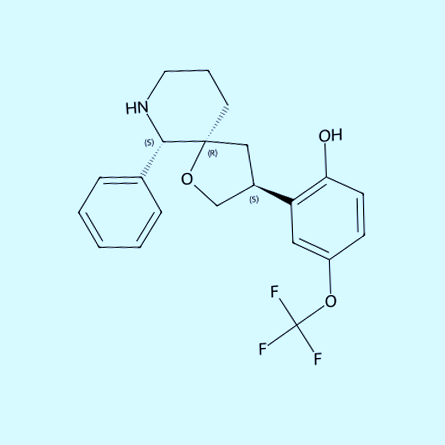 Oc1ccc(OC(F)(F)F)cc1[C@H]1CO[C@]2(CCCN[C@H]2c2ccccc2)C1